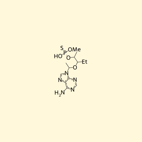 CCC(OC(C)n1cnc2c(N)ncnc21)C(C)OP(O)(=S)OC